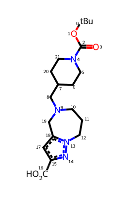 CC(C)(C)OC(=O)N1CCC(CN2CCCn3nc(C(=O)O)cc3C2)CC1